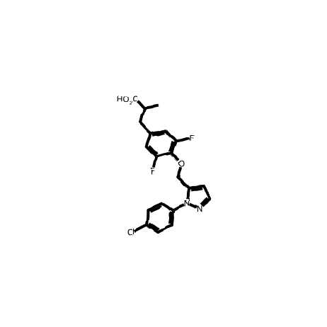 CC(Cc1cc(F)c(OCc2ccnn2-c2ccc(Cl)cc2)c(F)c1)C(=O)O